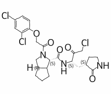 O=C1NCC[C@H]1C[C@H](NC(=O)[C@@H]1C2CCC[C@H]2CN1C(=O)COc1ccc(Cl)cc1Cl)C(=O)CCl